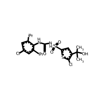 CC(C)c1cc(Cl)cc(C(C)C)c1NC(=O)NS(=O)(=O)c1cc(C(C)(C)O)c(Cl)s1